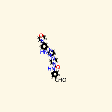 O=Cc1ccc(NC(=O)N2CCN(c3ccnc(Nc4ccc(N5CCOCC5)cc4)n3)CC2)cc1